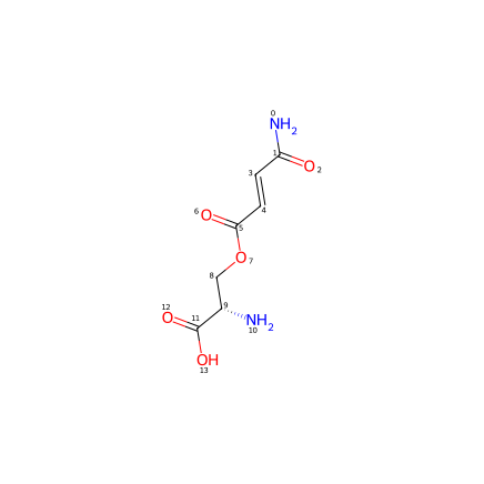 NC(=O)C=CC(=O)OC[C@H](N)C(=O)O